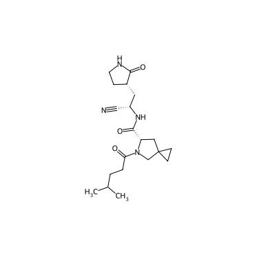 CC(C)CCC(=O)N1CC2(CC2)C[C@H]1C(=O)N[C@H](C#N)C[C@@H]1CCNC1=O